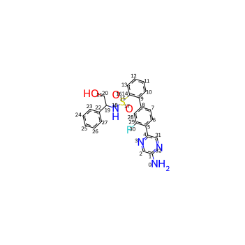 Nc1cnc(-c2ccc(-c3ccccc3S(=O)(=O)NC(CO)c3ccccc3)cc2F)cn1